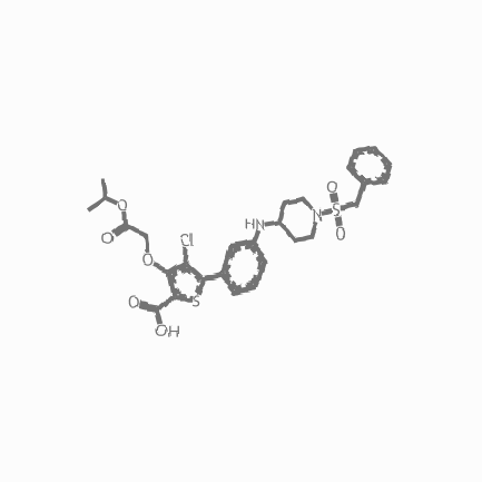 CC(C)OC(=O)COc1c(C(=O)O)sc(-c2cccc(NC3CCN(S(=O)(=O)Cc4ccccc4)CC3)c2)c1Cl